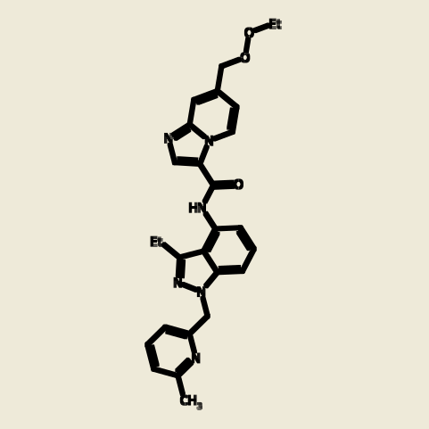 CCOOCc1ccn2c(C(=O)Nc3cccc4c3c(CC)nn4Cc3cccc(C)n3)cnc2c1